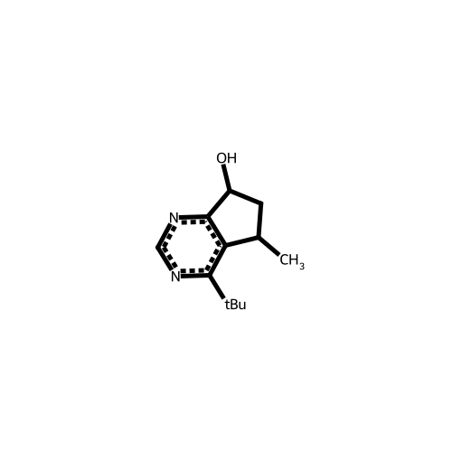 CC1CC(O)c2ncnc(C(C)(C)C)c21